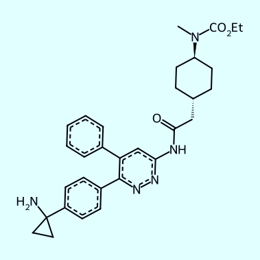 CCOC(=O)N(C)[C@H]1CC[C@H](CC(=O)Nc2cc(-c3ccccc3)c(-c3ccc(C4(N)CC4)cc3)nn2)CC1